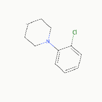 Clc1ccccc1N1CC[CH]CC1